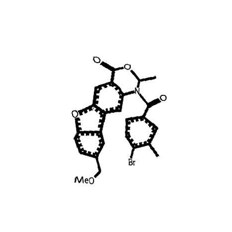 COCc1ccc2oc3cc4c(cc3c2c1)N(C(=O)c1ccc(Br)c(C)c1)C(C)OC4=O